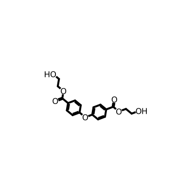 O=C(OCCO)c1ccc(Oc2ccc(C(=O)OCCO)cc2)cc1